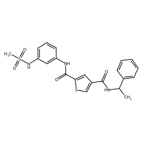 CC(NC(=O)c1csc(C(=O)Nc2cccc(NS(C)(=O)=O)c2)c1)c1ccccc1